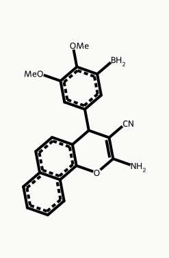 Bc1cc(C2C(C#N)=C(N)Oc3c2ccc2ccccc32)cc(OC)c1OC